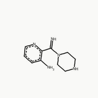 N=C(c1ncccc1N)N1CCNCC1